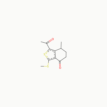 CSc1sc(C(C)=O)c2c1C(=O)CCC2C